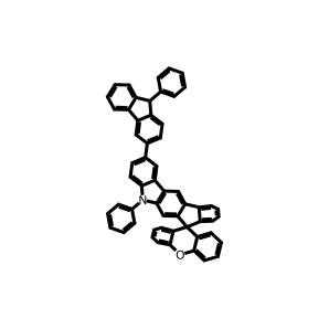 c1ccc(C2c3ccccc3-c3cc(-c4ccc5c(c4)c4cc6c(cc4n5-c4ccccc4)C4(c5ccccc5Oc5ccccc54)c4ccccc4-6)ccc32)cc1